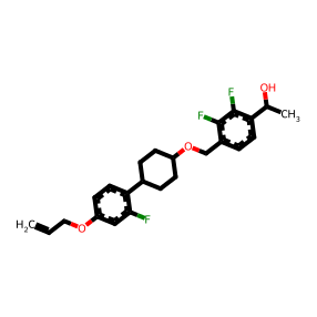 C=CCOc1ccc(C2CCC(OCc3ccc(C(C)O)c(F)c3F)CC2)c(F)c1